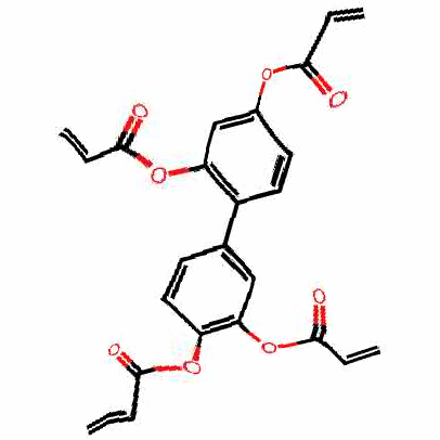 C=CC(=O)Oc1ccc(-c2ccc(OC(=O)C=C)c(OC(=O)C=C)c2)c(OC(=O)C=C)c1